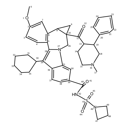 COc1ccc2c(c1)C1CC1(C(=O)C1CCN(C)CC1c1ccccc1)Cn1c-2c(C2CCCCC2)c2ccc(C(=O)NS(=O)(=O)N3CCC3)cc21